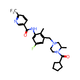 Cc1c(CN2CCN(C(=O)C3CCCC3)C(C)C2)cc(F)cc1NC(=O)c1ccc(C(F)(F)F)nc1